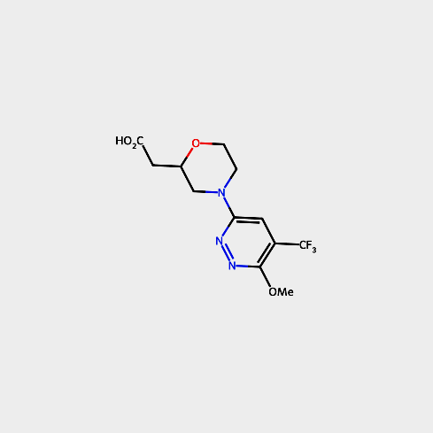 COc1nnc(N2CCOC(CC(=O)O)C2)cc1C(F)(F)F